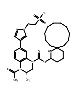 CC(=O)N1c2ccc(-c3cnn(CCS(C)(=O)=O)c3)cc2N(C(=O)OC2CCCC3(CCCCCCCCCC3)N2)C[C@@H]1C